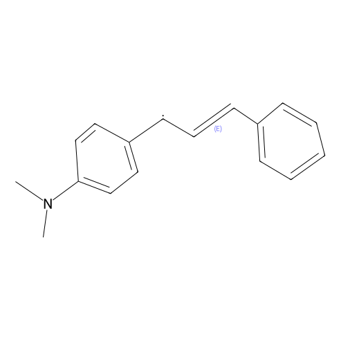 CN(C)c1ccc([CH]/C=C/c2ccccc2)cc1